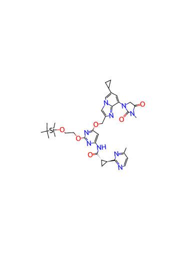 Cc1ccnc([C@H]2C[C@@H]2C(=O)Nc2cc(OCc3cn4cc(C5CC5)cc(N5CC(=O)N(C)C5=O)c4n3)nc(OCCO[Si](C)(C)C(C)(C)C)n2)n1